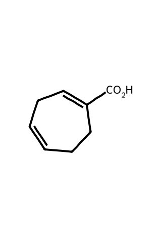 O=C(O)C1=CCC=CCC1